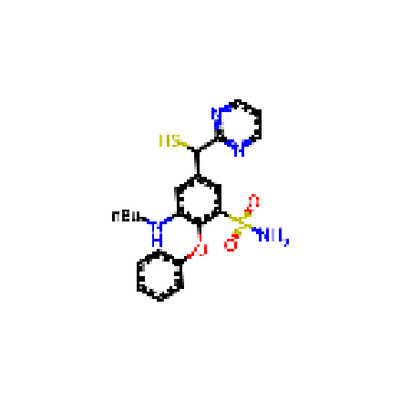 CCCCNc1cc(C(S)c2ncccn2)cc(S(N)(=O)=O)c1Oc1ccccc1